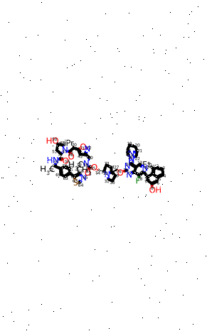 CCc1cccc2cc(O)cc(-c3ncc4c(N5CC6CCC(C5)N6)nc(OC[C@@]56CCCN5[C@H](COC(=O)N(C)Cc5cc([C@@H](C(=O)N7C[C@H](O)C[C@H]7C(=O)N[C@@H](C)c7ccc(-c8scnc8C)cc7)C(C)C)on5)CC6)nc4c3F)c12